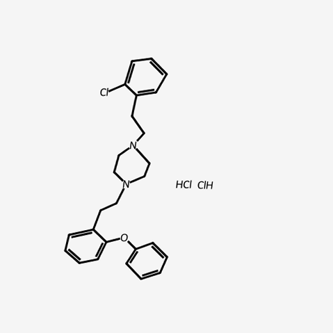 Cl.Cl.Clc1ccccc1CCN1CCN(CCc2ccccc2Oc2ccccc2)CC1